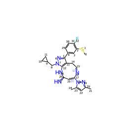 CSc1cc(-c2nn(CC3CC3)c3c2C/C=N\C(n2nc(C)cc2C)=C/C(=N)N3)ccc1F